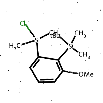 COc1cccc([Si](C)(C)Cl)c1[Si](C)(C)C(C)(C)C